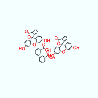 O=C(O)c1ccccc1.O=C(O)c1ccccc1.O=C1OC2(c3ccc(O)cc3Oc3cc(O)ccc32)c2ccccc21.O=C1OC2(c3ccc(O)cc3Oc3cc(O)ccc32)c2ccccc21